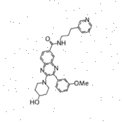 COc1cccc(-c2nc3cc(C(=O)NCCCc4cccnc4)ccc3nc2N2CCC(O)CC2)c1